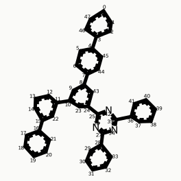 c1ccc(-c2ccc(-c3cc(-c4cccc(-c5ccccc5)c4)cc(-c4nc(-c5ccccc5)nc(-c5ccccc5)n4)c3)cc2)cc1